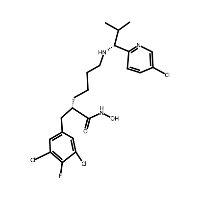 CC(C)[C@@H](NCCCC[C@@H](Cc1cc(Cl)c(F)c(Cl)c1)C(=O)NO)c1ccc(Cl)cn1